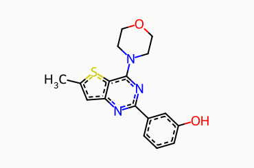 Cc1cc2nc(-c3cccc(O)c3)nc(N3CCOCC3)c2s1